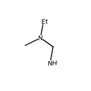 CCN(C)C[NH]